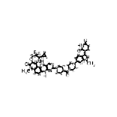 Cn1nc(C2CCC(=O)NC2=O)c2ccc(N3CCN(C(=O)C4CCN(c5ncc(Cl)c(Nc6ccc7c(c6)c6c(c(=O)n7C)OCC(F)(F)C(C7CC7)N6)n5)CC4)CC3)cc21